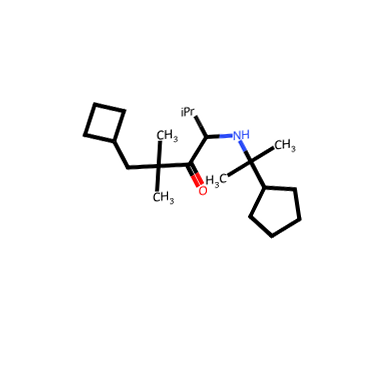 CC(C)C(NC(C)(C)C1CCCC1)C(=O)C(C)(C)CC1CCC1